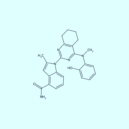 Cc1cc2c(C(N)=O)cccc2n1-c1nc2c(c(N(C)c3ccccc3O)n1)CCCC2